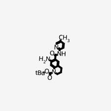 Cc1ccc(NC(=O)c2cc3c(cc2N)N(C(=O)OC(C)(C)C)CCC3)nc1